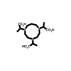 CC(C(=O)O)N1CCCN(C(C)C(=O)O)CCN(C(C)C(=O)O)CC1